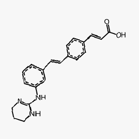 O=C(O)/C=C/c1ccc(/C=C/c2cccc(NC3=NCCCN3)c2)cc1